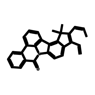 C=CC1=C(/C=C\C)C(C)(C)c2c1ccc1c2c2cccc3c4ccccc4c(=O)n1c32